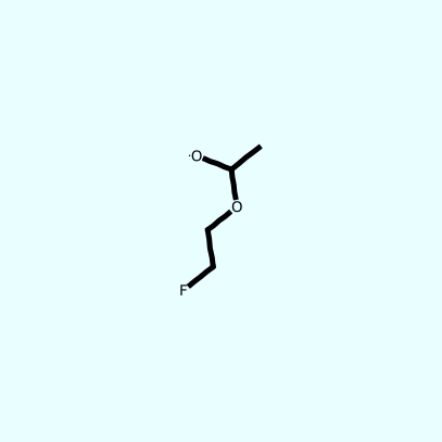 CC([O])OCCF